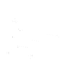 CCCCC(C)C(C)/C=N/O